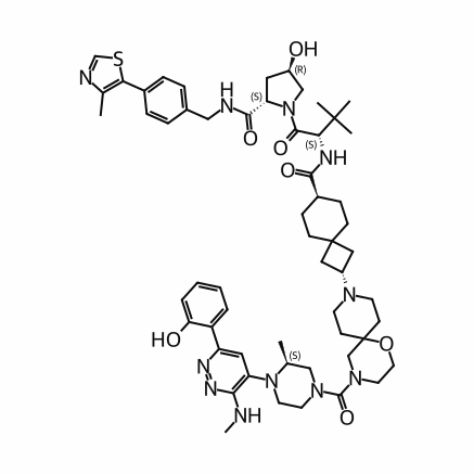 CNc1nnc(-c2ccccc2O)cc1N1CCN(C(=O)N2CCOC3(CCN([C@H]4CC5(CC[C@H](C(=O)N[C@H](C(=O)N6C[C@H](O)C[C@H]6C(=O)NCc6ccc(-c7scnc7C)cc6)C(C)(C)C)CC5)C4)CC3)C2)C[C@@H]1C